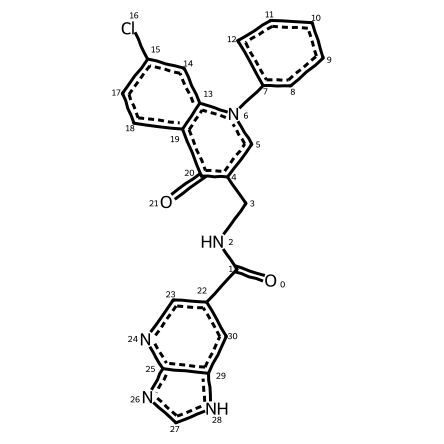 O=C(NCc1cn(-c2ccccc2)c2cc(Cl)ccc2c1=O)c1cnc2nc[nH]c2c1